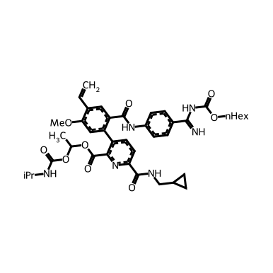 C=Cc1cc(C(=O)Nc2ccc(C(=N)NC(=O)OCCCCCC)cc2)c(-c2ccc(C(=O)NCC3CC3)nc2C(=O)OC(C)OC(=O)NC(C)C)cc1OC